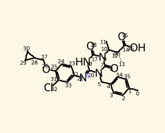 Cc1ccc(Cn2c(=O)n(C(C)[C@@H](C)C(=O)O)c(=O)[nH]/c2=N\c2ccc(OCC3CC3)c(Cl)c2)cc1